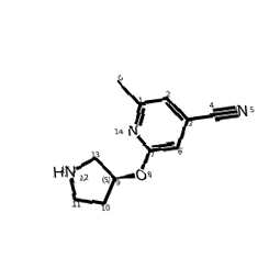 Cc1cc(C#N)cc(O[C@H]2CCNC2)n1